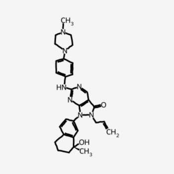 C=CCn1c(=O)c2cnc(Nc3ccc(N4CCN(C)CC4)cc3)nc2n1-c1ccc2c(c1)[C@](C)(O)CCC2